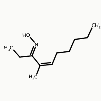 CCCCCC=C(C)C(CC)=NO